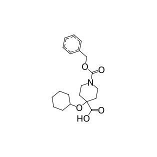 O=C(OCc1ccccc1)N1CCC(OC2CCCCC2)(C(=O)O)CC1